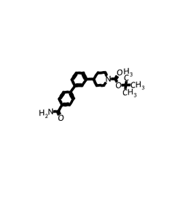 CC(C)(C)OC(=O)N1CCC(c2cccc(-c3ccc(C(N)=O)cc3)c2)CC1